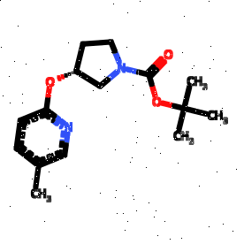 Cc1ccc(O[C@@H]2CCN(C(=O)OC(C)(C)C)C2)nc1